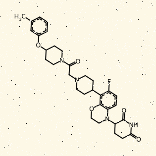 Cc1cccc(OC2CCN(C(=O)CN3CCC(c4c(F)ccc5c4OCCN5C4CCC(=O)NC4=O)CC3)CC2)c1